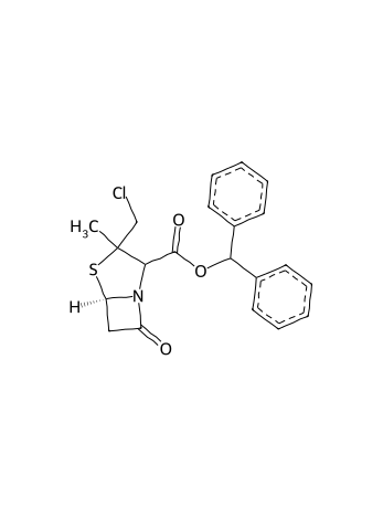 CC1(CCl)S[C@@H]2CC(=O)N2C1C(=O)OC(c1ccccc1)c1ccccc1